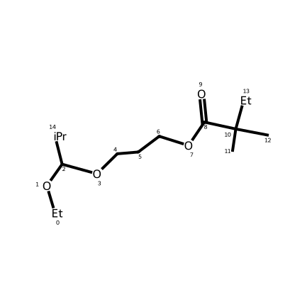 CCOC(OCCCOC(=O)C(C)(C)CC)C(C)C